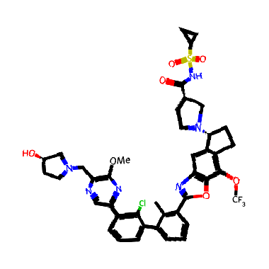 COc1nc(-c2cccc(-c3cccc(-c4nc5cc6c(c(OC(F)(F)F)c5o4)CC[C@H]6N4CC[C@@H](C(=O)NS(=O)(=O)C5CC5)C4)c3C)c2Cl)cnc1CN1CC[C@@H](O)C1